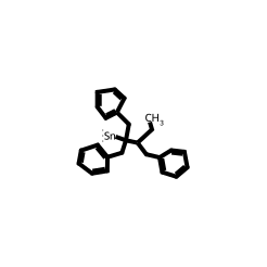 CCC(Cc1ccccc1)[C]([Sn])(Cc1ccccc1)Cc1ccccc1